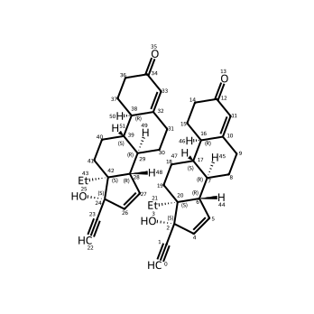 C#C[C@]1(O)C=C[C@H]2[C@@H]3CCC4=CC(=O)CC[C@@H]4[C@H]3CC[C@@]21CC.C#C[C@]1(O)C=C[C@H]2[C@@H]3CCC4=CC(=O)CC[C@@H]4[C@H]3CC[C@@]21CC